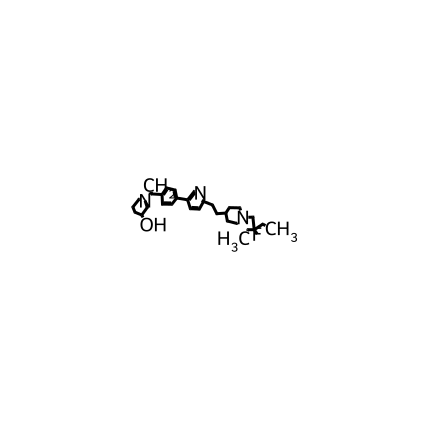 C=C(c1ccc(-c2ccc(CCC3CCN(CC(F)(CC)CC)CC3)nc2)cc1)N1CCCC(O)C1